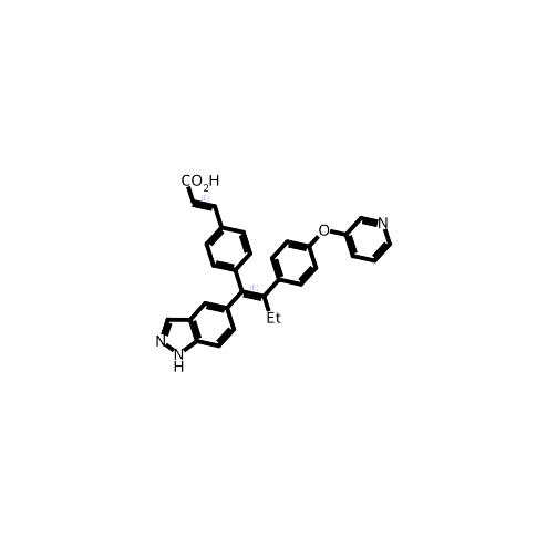 CC/C(=C(/c1ccc(/C=C/C(=O)O)cc1)c1ccc2[nH]ncc2c1)c1ccc(Oc2cccnc2)cc1